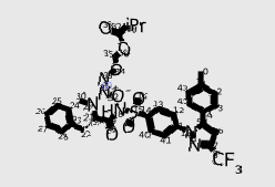 Cc1ccc(-c2cc(C(F)(F)F)nn2-c2ccc(S(=O)(=O)NC(=O)[C@H](Cc3ccccc3)N(C)/[N+]([O-])=N/OCOC(=O)C(C)C)cc2)cc1